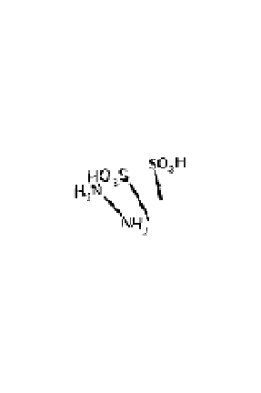 CS(=O)(=O)O.CS(=O)(=O)O.NN